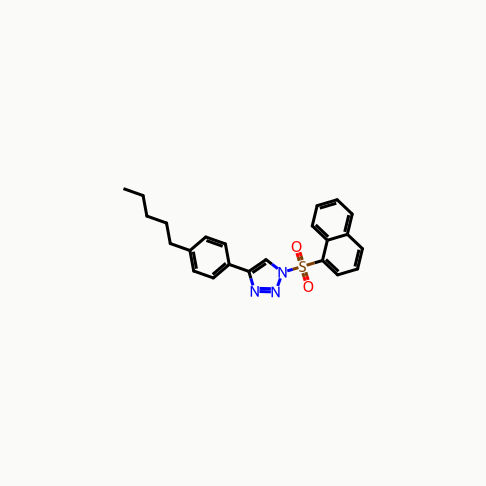 CCCCCc1ccc(-c2cn(S(=O)(=O)c3cccc4ccccc34)nn2)cc1